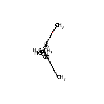 CCCCCCCCCCCCCCCCCCOC(=O)CSCc1c(C)c(O)c(C)c(CSCC(=O)OCCCCCCCCCCCCCCCCCC)c1C